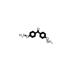 O=C(c1ccc(O[SiH3])cc1)c1ccc(O[SiH3])cc1